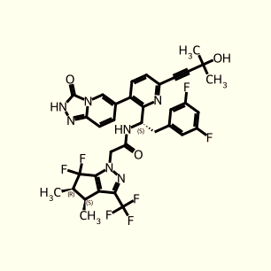 C[C@@H]1c2c(C(F)(F)F)nn(CC(=O)N[C@@H](Cc3cc(F)cc(F)c3)c3nc(C#CC(C)(C)O)ccc3-c3ccc4n[nH]c(=O)n4c3)c2C(F)(F)[C@@H]1C